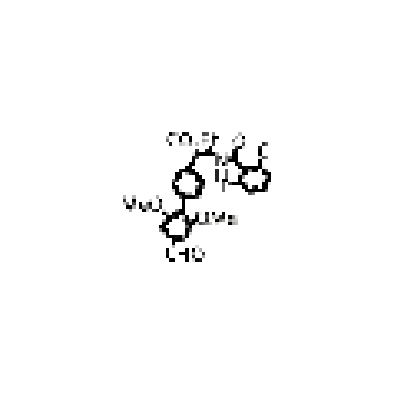 CCOC(=O)[C@H](Cc1ccc(-c2c(OC)cc(C=O)cc2OC)cc1)NC(=O)c1c(F)cccc1Cl